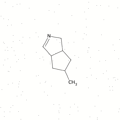 CC1CC2C=NCC2C1